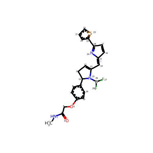 CNC(=O)COc1ccc(C2CC=C(/C=C3/C=CC(c4cccs4)=N3)N2B(F)F)cc1